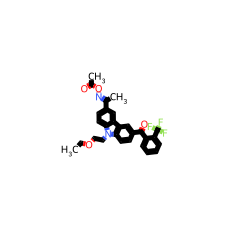 CCOCCn1c2ccc(C(=O)c3ccccc3C(F)(F)F)cc2c2cc(C(C)=NOC(C)=O)ccc21